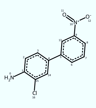 Nc1ccc(-c2cccc([N+](=O)[O-])c2)cc1Cl